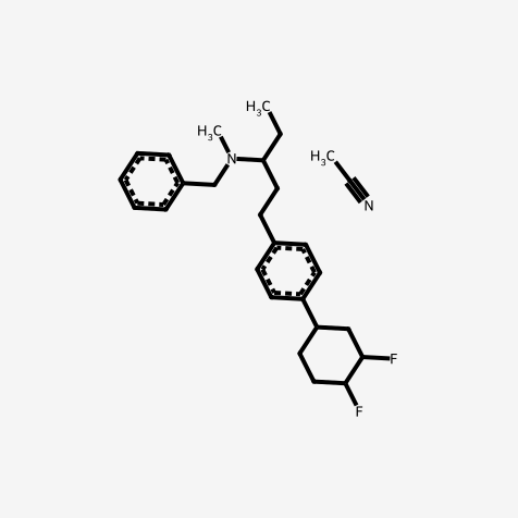 CC#N.CCC(CCc1ccc(C2CCC(F)C(F)C2)cc1)N(C)Cc1ccccc1